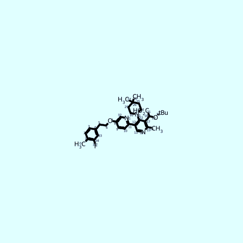 Cc1ccc(CCOc2ccc(-c3cnc(C)c(C(OC(C)(C)C)C(=O)O)c3N3CCC(C)(C)CC3)nc2)cc1F